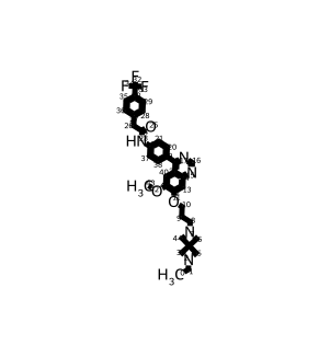 CCN1CC2(C1)CN(CCCOc1cc3ncnc(-c4ccc(NC(=O)Cc5ccc(C(F)(F)F)cc5)cc4)c3cc1OC)C2